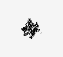 CCOC(=O)C[C@H](NC(=O)C(CC(C)C)n1cc(CCN(C)C)cc(C)c1=O)c1cc(-c2c(C)cc(F)cc2C)cc(C(F)(F)F)c1F.Cc1cc(F)cc(C)c1-c1cc([C@H](CC(=O)O)NC(=O)C(CC(C)C)n2cc(CCN(C)C)cc(C)c2=O)c(F)c(C(F)(F)F)c1